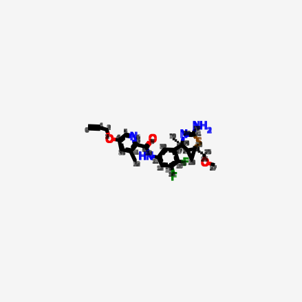 C#CCOc1cnc(C(=O)Nc2cc(F)c(F)c([C@@]3(C)N=C(N)S[C@@]4(COC)CC43)c2)c(C)c1